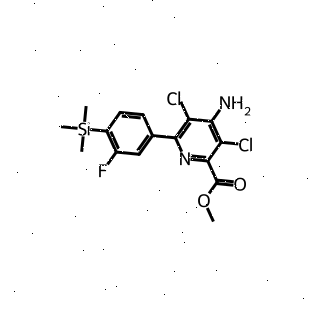 COC(=O)c1nc(-c2ccc([Si](C)(C)C)c(F)c2)c(Cl)c(N)c1Cl